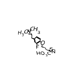 CN(C)CCCc1ccc(OCCCc2scnc2C(=O)O)c(F)c1